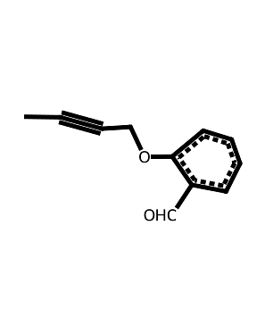 CC#CCOc1ccccc1C=O